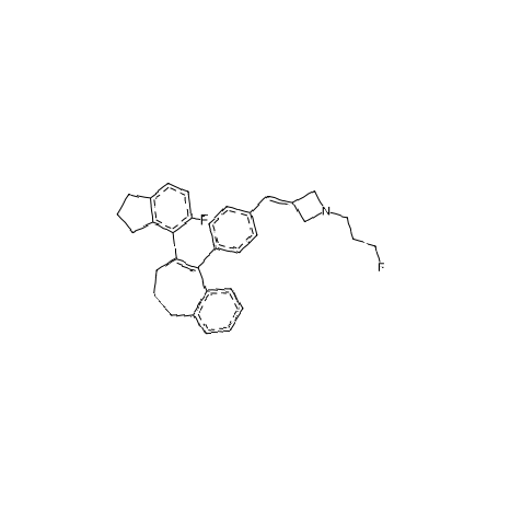 FCCCN1CC(=Cc2ccc(C3=C(c4c(F)ccc5c4CCC5)CCCc4ccccc43)cc2)C1